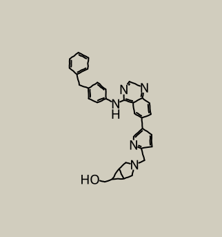 OCC1C2CN(Cc3ccc(-c4ccc5ncnc(Nc6ccc(Cc7ccccc7)cc6)c5c4)cn3)CC12